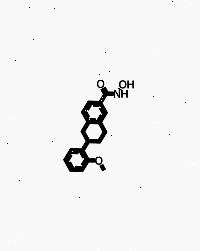 COc1ccccc1C1CCc2cc(C(=O)NO)ccc2C1